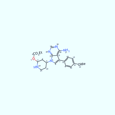 CCOC(=O)OC1CC(n2cc(-c3ccc(OC)cc3)c3c(N)ncnc32)CCN1